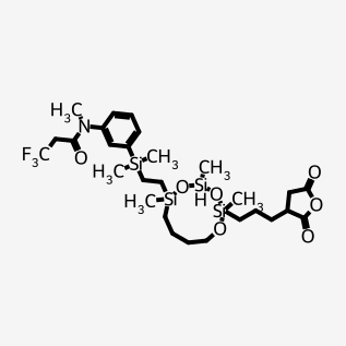 CN(C(=O)CC(F)(F)F)c1cccc([Si](C)(C)CC[Si]2(C)CCCCO[Si](C)(CCCC3CC(=O)OC3=O)O[SiH](C)O2)c1